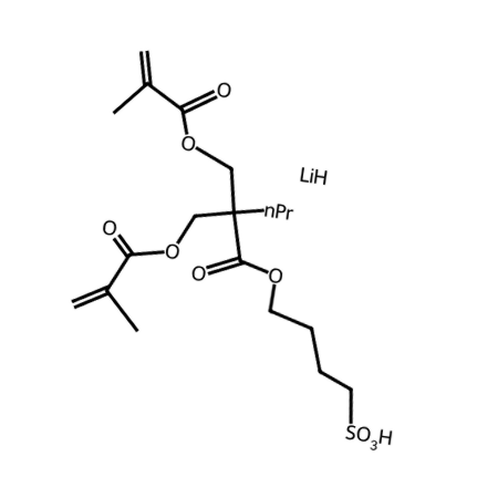 C=C(C)C(=O)OCC(CCC)(COC(=O)C(=C)C)C(=O)OCCCCS(=O)(=O)O.[LiH]